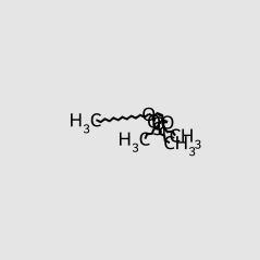 CCCCCCCCCCCCOC(=O)/C=C\C(=O)O[Si](CCCC)(CCCC)CCCC